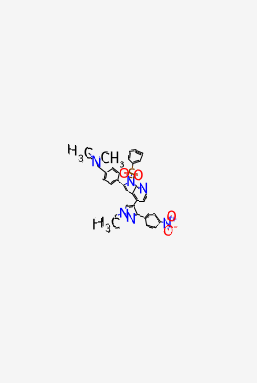 CCn1cc(-c2ccnc3c2cc(-c2ccc(CN(C)C)cc2)n3S(=O)(=O)c2ccccc2)c(-c2ccc([N+](=O)[O-])cc2)n1